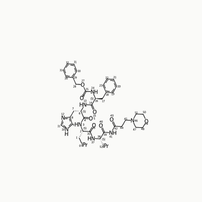 CC(C)C[C@H](NC(=O)[C@H](Cc1c[nH]cn1)NC(=O)[C@H](Cc1ccccc1)NC(=O)OCc1ccccc1)C(=O)N[C@H](C(=O)NC(=O)CCN1CCOCC1)C(C)C